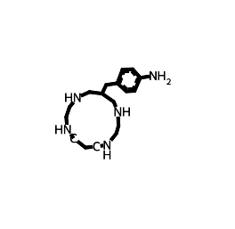 Nc1ccc(CC2CNCCNCCCNCCNC2)cc1